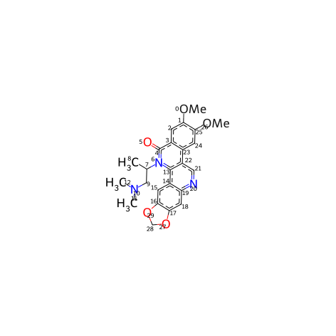 COc1cc2c(=O)n(C(C)CN(C)C)c3c4cc5c(cc4ncc3c2cc1OC)OCO5